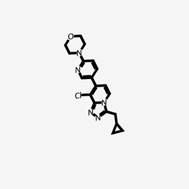 Clc1c(-c2ccc(N3CCOCC3)nc2)ccn2c(CC3CC3)nnc12